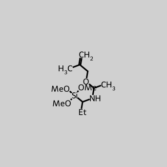 C=C(C)COC(C)NC(CC)[Si](OC)(OC)OC